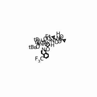 CC[C@@H]1C[C@]1(NC(=O)[C@@H]1C[C@@H](Oc2nccc3c(C(F)(F)F)cccc23)CN1C(=O)[C@@H](NC(=O)OC(C)(C)C)C(C)(C)C)C(=O)NS(=O)(=O)C1CC1